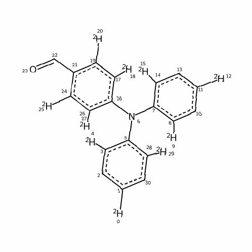 [2H]c1cc([2H])c(N(c2c([2H])cc([2H])cc2[2H])c2c([2H])c([2H])c(C=O)c([2H])c2[2H])c([2H])c1